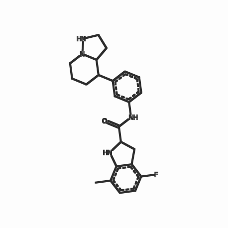 Cc1ccc(F)c2c1NC(C(=O)Nc1cccc(C3CCCN4NCCC34)c1)C2